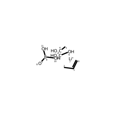 C=CC.CC(=O)O.O=C(O)O.[Li+].[O-]B(O)O